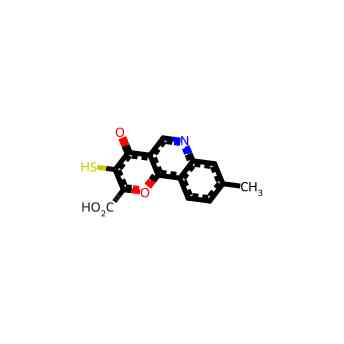 Cc1ccc2c(c1)ncc1c(=O)c(S)c(C(=O)O)oc12